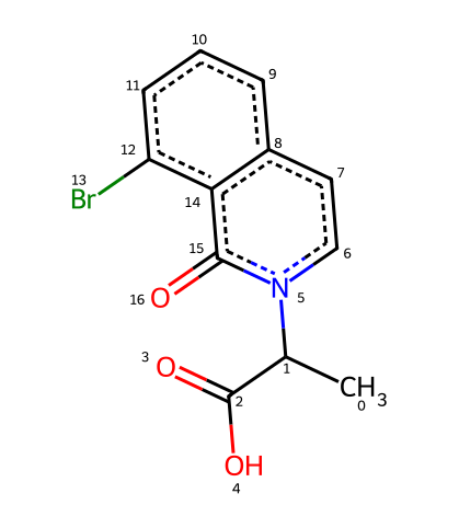 CC(C(=O)O)n1ccc2cccc(Br)c2c1=O